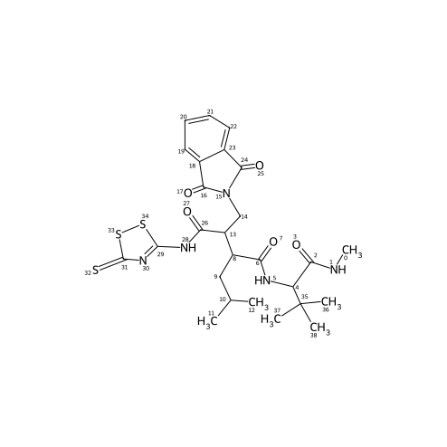 CNC(=O)C(NC(=O)C(CC(C)C)C(CN1C(=O)c2ccccc2C1=O)C(=O)Nc1nc(=S)ss1)C(C)(C)C